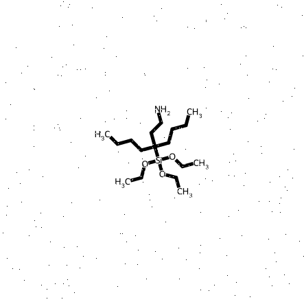 CCCCC(CCN)(CCCC)[Si](OCC)(OCC)OCC